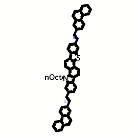 CCCCCCCCn1c2cc(/C=C/c3ccc4c(ccc5ccccc54)c3)ccc2c2ccc3c(ccc4c5ccc(/C=C/c6ccc7c(ccc8ccccc87)c6)cc5sc43)c21